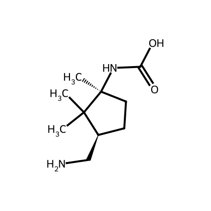 CC1(C)[C@H](CN)CC[C@]1(C)NC(=O)O